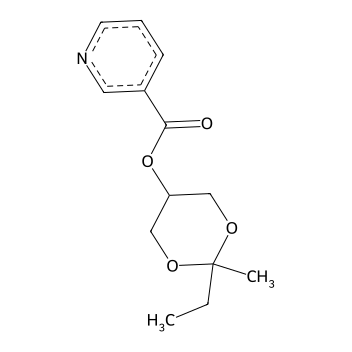 CCC1(C)OCC(OC(=O)c2cccnc2)CO1